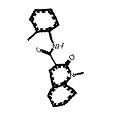 Cc1ccccc1NC(=O)c1cc2ccccc2n(C)c1=O